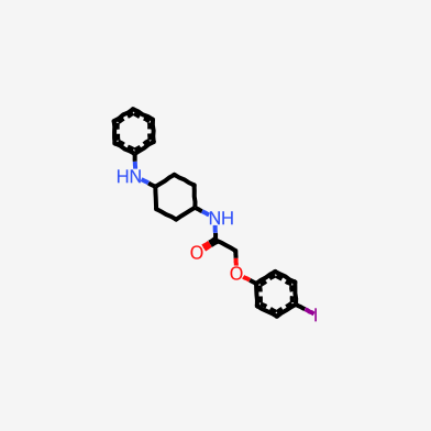 O=C(COc1ccc(I)cc1)NC1CCC(Nc2ccccc2)CC1